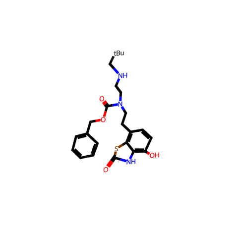 CC(C)(C)CNCCN(CCc1ccc(O)c2[nH]c(=O)sc12)C(=O)OCc1ccccc1